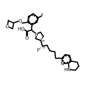 O=C(O)C(c1cc(F)ccc1COC1COC1)N1CC[C@@H]([C@@H](F)CCCCc2ccc3c(n2)NCCC3)C1